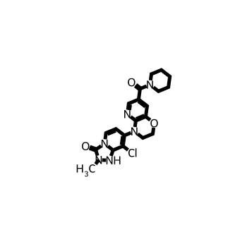 CN1NC2C(Cl)=C(N3CCOc4cc(C(=O)N5CCCCC5)cnc43)C=CN2C1=O